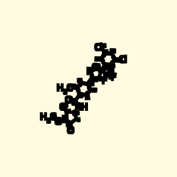 CON1C(=O)C[C@@H](NC(=O)c2ccc(C3=NOC(c4cc(Cl)cc(Cl)c4)(C(F)(F)F)C3)cc2C)C1=O